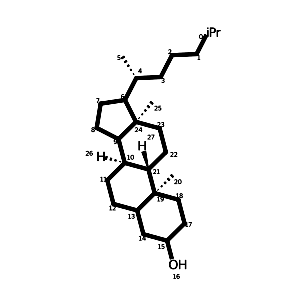 CC(C)CCC[C@@H](C)C1CCC2[C@@H]3CCC4CC(O)CC[C@]4(C)[C@H]3CC[C@]12C